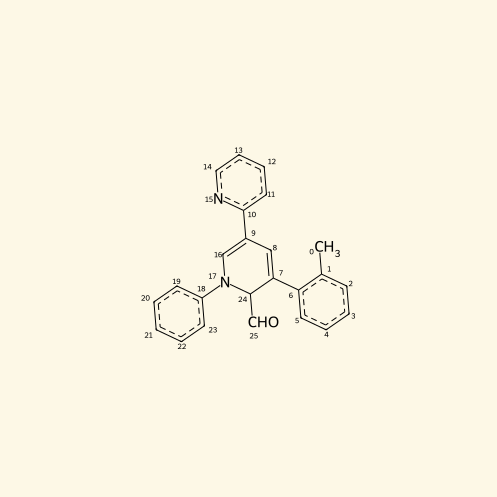 Cc1ccccc1C1=CC(c2ccccn2)=CN(c2ccccc2)C1C=O